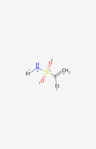 C=C(CC)S(=O)(=O)NCC